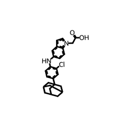 O=C(O)Cn1ccc2cc(Nc3ccc(C45CC6CC(CC(C6)C4)C5)cc3Cl)ccc21